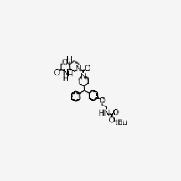 CC(C)(C)OC(=O)NCCOc1ccc(C(c2ccccc2)C2CCN(C(=O)N3CC[C@@H]4OCC(=O)N[C@@H]4C3)CC2)cc1